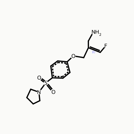 NC/C(=C\F)COc1ccc(S(=O)(=O)N2CCCC2)cc1